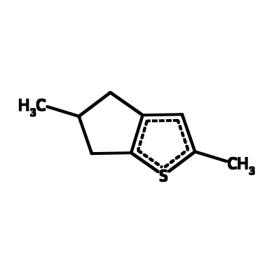 Cc1cc2c(s1)CC(C)C2